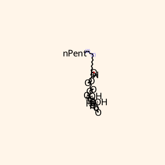 CCCCC/C=C\C/C=C\CCCCCCCC(=O)CC(COC(=O)CCC(=O)OCC(=O)[C@@]1(O)[C@H](C)C[C@H]2[C@@H]3CCC4=CC(=O)C=C[C@]4(C)[C@@]3(F)[C@@H](O)C[C@@]21C)CN(C)C